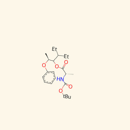 CCC(CC)C(OC(=O)[C@H](C)NC(=O)OC(C)(C)C)[C@H](C)Oc1ccccc1